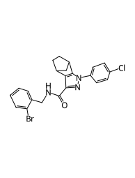 O=C(NCc1ccccc1Br)c1nn(-c2ccc(Cl)cc2)c2c1C1CCC2C1